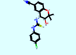 CC1(C)Oc2ccc(C#N)cc2[C@@H](NC(=S)Nc2ccc(Cl)cc2)[C@@H]1O